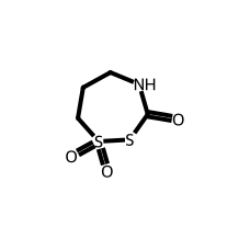 O=C1NCCCS(=O)(=O)S1